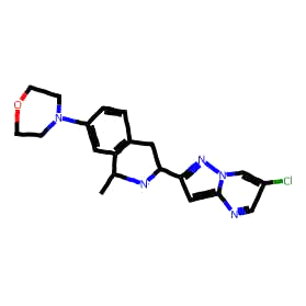 CC1[N]C(c2cc3ncc(Cl)cn3n2)Cc2ccc(N3CCOCC3)cc21